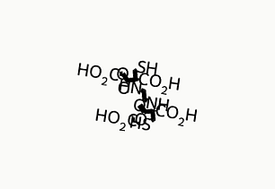 O=C(O)OC(=O)[C@](CS)(NCCN[C@](CS)(C(=O)O)C(=O)OC(=O)O)C(=O)O